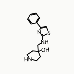 OC1(CNc2nc(-c3ccccc3)cs2)CCNCC1